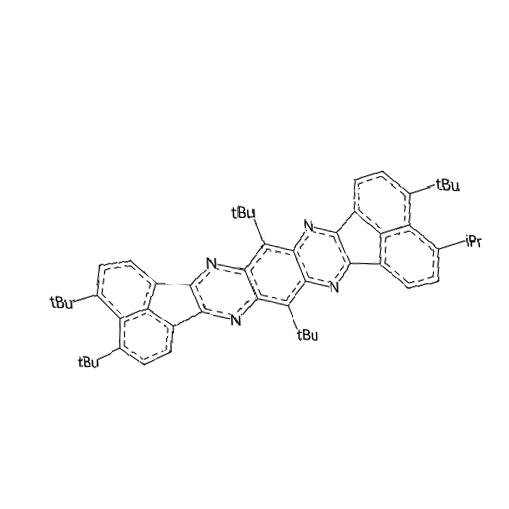 CC(C)c1ccc2c3c(ccc(C(C)(C)C)c13)-c1nc3c(C(C)(C)C)c4nc5c(nc4c(C(C)(C)C)c3nc1-2)-c1ccc(C(C)(C)C)c2c(C(C)(C)C)ccc-5c12